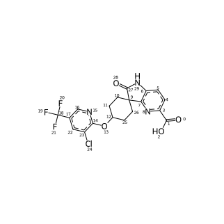 O=C(O)c1ccc2c(n1)C1(CCC(Oc3ncc(C(F)(F)F)cc3Cl)CC1)C(=O)N2